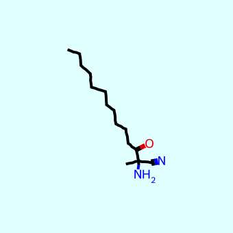 CCCCCCCCCCCC(=O)C(C)(N)C#N